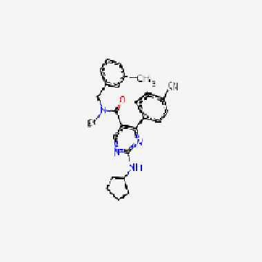 CCN(Cc1cccc(C)c1)C(=O)c1cnc(NC2CCCC2)nc1-c1ccc(C#N)cc1